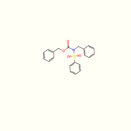 O=C(OCc1ccccc1)N(Cc1ccccc1)S(=O)(=O)c1ccccc1